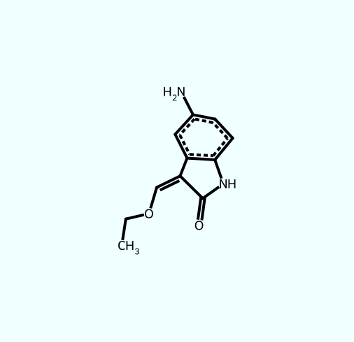 CCOC=C1C(=O)Nc2ccc(N)cc21